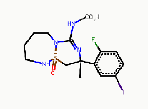 C[C@@]1(c2cc(I)ccc2F)C[SH]2(=O)NCCCCN2C(NC(=O)O)=N1